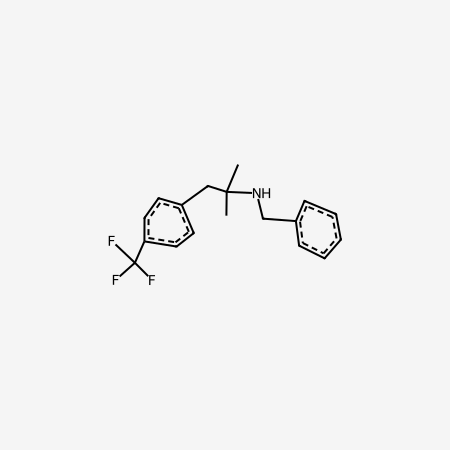 CC(C)(Cc1ccc(C(F)(F)F)cc1)NCc1ccccc1